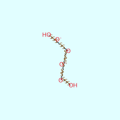 O=C(CCSCSCCC[S+]([O-])CSCSCO)SCCSCSCC[S+]([O-])CCCSCSCCC(=O)SCSCSCO